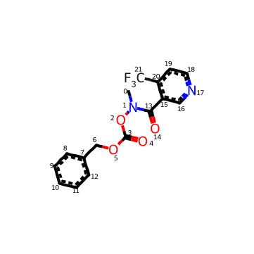 CN(OC(=O)OCc1ccccc1)C(=O)c1cnccc1C(F)(F)F